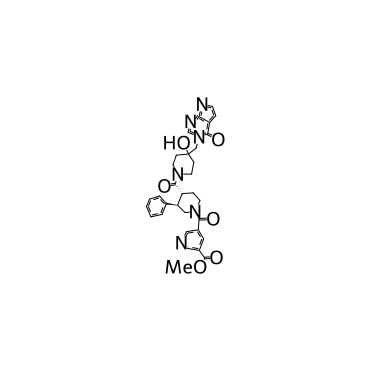 COC(=O)c1cncc(C(=O)N2CC[C@@H](C(=O)N3CCC(O)(Cn4cnc5c(ccn5C)c4=O)CC3)[C@H](c3ccccc3)C2)c1